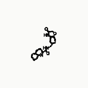 O=C1COc2ccc(CNC(=O)c3ccc4ccccc4n3)cc2N1